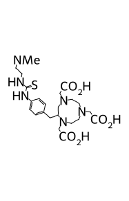 CNCCNC(=S)Nc1ccc(CC2CN(CC(=O)O)CCN(CC(=O)O)CCN2CC(=O)O)cc1